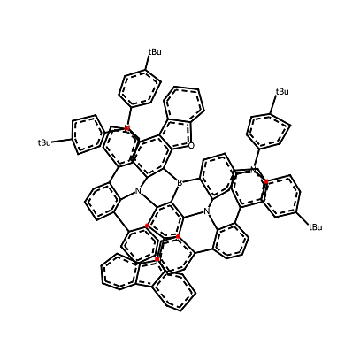 CC(C)(C)c1ccc(N(c2ccc(C(C)(C)C)cc2)c2ccc3c(c2)N(c2c(-c4ccccc4)cccc2-c2ccccc2)c2cc(-n4c5ccccc5c5ccccc54)cc4c2B3c2c(cc(N(c3ccc(C(C)(C)C)cc3)c3ccc(C(C)(C)C)cc3)c3c2oc2ccccc23)N4c2c(-c3ccccc3)cccc2-c2ccccc2)cc1